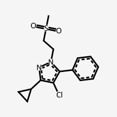 CS(=O)(=O)CCn1nc(C2CC2)c(Cl)c1-c1ccccc1